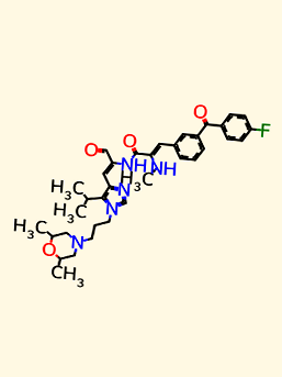 CN/C(=C\c1cccc(C(=O)c2ccc(F)cc2)c1)C(=O)N/C(C=O)=C\c1ncn(CCCN2CC(C)OC(C)C2)c1C(C)C